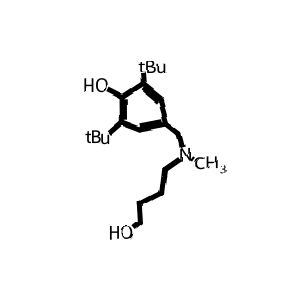 CN(CCCCO)Cc1cc(C(C)(C)C)c(O)c(C(C)(C)C)c1